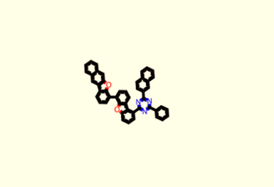 c1ccc(-c2nc(-c3ccc4ccccc4c3)nc(-c3cccc4oc5c(-c6cccc7c6oc6cc8ccccc8cc67)cccc5c34)n2)cc1